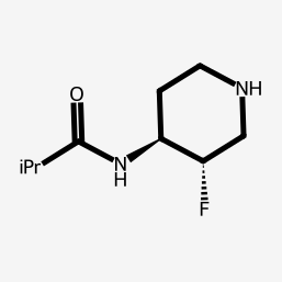 CC(C)C(=O)N[C@H]1CCNC[C@@H]1F